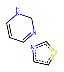 C1=CNCN=C1.c1cscn1